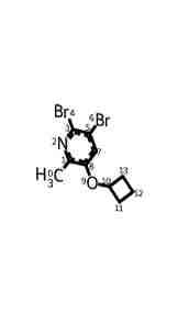 Cc1nc(Br)c(Br)cc1OC1CCC1